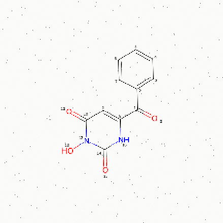 O=C(c1ccccc1)c1cc(=O)n(O)c(=O)[nH]1